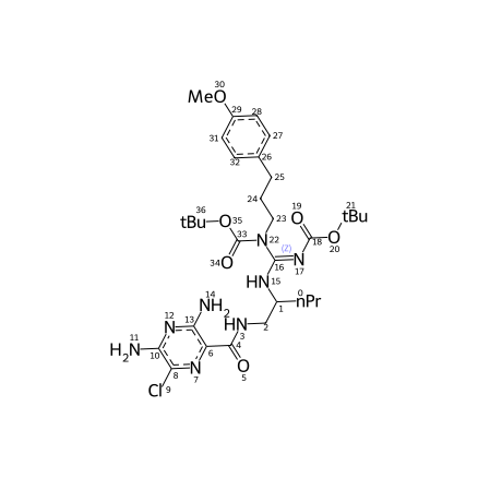 CCCC(CNC(=O)c1nc(Cl)c(N)nc1N)N/C(=N/C(=O)OC(C)(C)C)N(CCCc1ccc(OC)cc1)C(=O)OC(C)(C)C